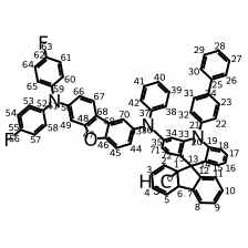 CC12C=CC=CC1c1ccccc1C21c2ccccc2N(c2ccc(-c3ccccc3)cc2)c2cc(N(c3ccccc3)c3ccc4oc5cc(N(C6=C=C=C(F)C=C6)c6ccc(F)cc6)ccc5c4c3)ccc21